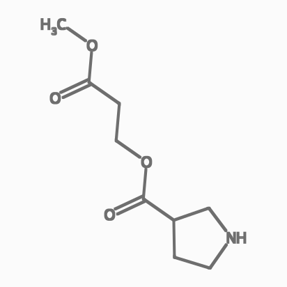 COC(=O)CCOC(=O)C1CCNC1